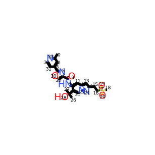 Cc1cc(-c2nc(C(=O)Nc3cc4cc(CCS(C)(=O)=O)nn4cc3C(C)(C)O)co2)ccn1